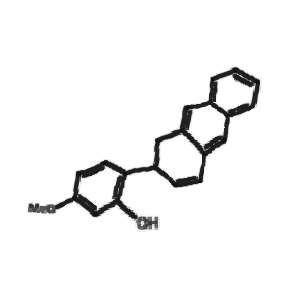 COc1ccc(C2C=Cc3cc4ccccc4cc3C2)c(O)c1